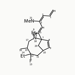 C=C/C=C(\C=C(/CC)C12C=CC(CC(F)(CC)C(C)CN1CC)C2)NC